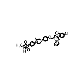 CC1NC(=O)N(c2ccc(N3CCN(c4ccc(OCC5COC(Cn6ccnc6)(c6ccc(Cl)cc6Cl)O5)cc4)CC3I)cc2)C1=O